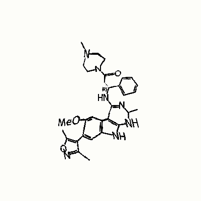 COc1cc2c3c([nH]c2cc1-c1c(C)noc1C)NC(C)N=C3N[C@H](CC(=O)N1CCN(C)CC1)c1ccccc1